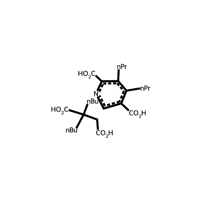 CCCCC(CCCC)(CC(=O)O)C(=O)O.CCCc1c(C(=O)O)cnc(C(=O)O)c1CCC